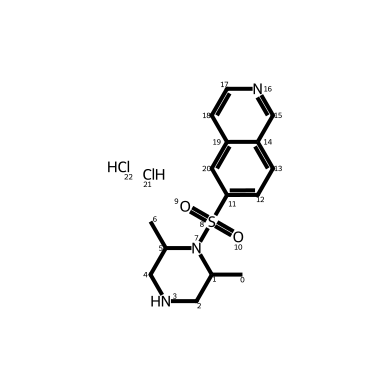 CC1CNCC(C)N1S(=O)(=O)c1ccc2cnccc2c1.Cl.Cl